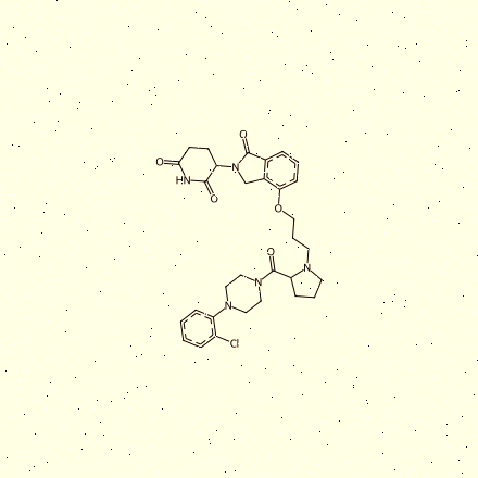 O=C1CCC(N2Cc3c(OCCCN4CCCC4C(=O)N4CCN(c5ccccc5Cl)CC4)cccc3C2=O)C(=O)N1